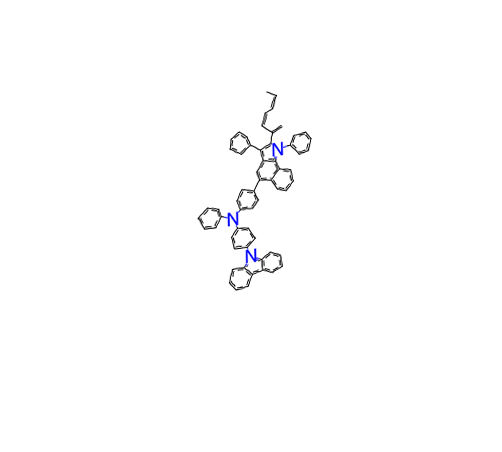 C=C(/C=C\C=C/C)c1c(-c2ccccc2)c2cc(-c3ccc(N(c4ccccc4)c4ccc(-n5c6ccccc6c6ccccc65)cc4)cc3)c3ccccc3c2n1-c1ccccc1